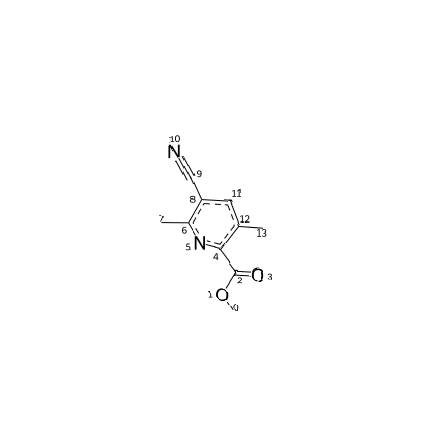 COC(=O)c1nc(C)c(C#N)cc1C